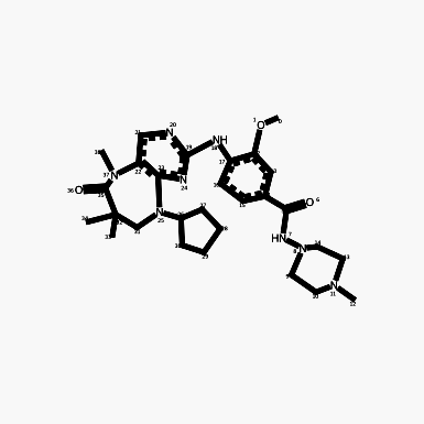 COc1cc(C(=O)NN2CCN(C)CC2)ccc1Nc1ncc2c(n1)N(C1CCCC1)CC(C)(C)C(=O)N2C